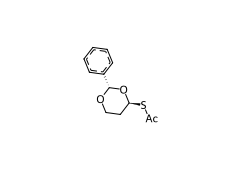 CC(=O)S[C@H]1CCO[C@H](c2ccccc2)O1